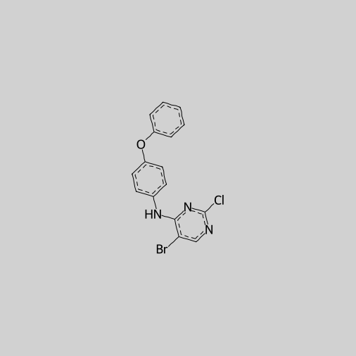 Clc1ncc(Br)c(Nc2ccc(Oc3ccccc3)cc2)n1